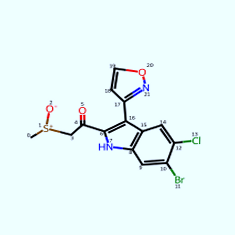 C[S+]([O-])CC(=O)c1[nH]c2cc(Br)c(Cl)cc2c1-c1ccon1